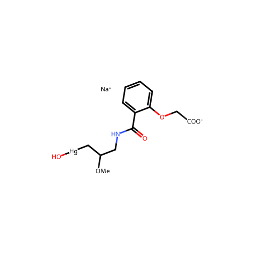 COC(CNC(=O)c1ccccc1OCC(=O)[O-])[CH2][Hg][OH].[Na+]